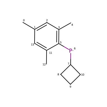 Cc1cc(C)c([P]C2CCC2)c(C)c1